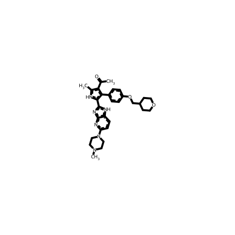 CC(=O)c1c(C)[nH]c(-c2nc3nc(N4CCN(C)CC4)ccc3[nH]2)c1-c1ccc(OCC2CCOCC2)cc1